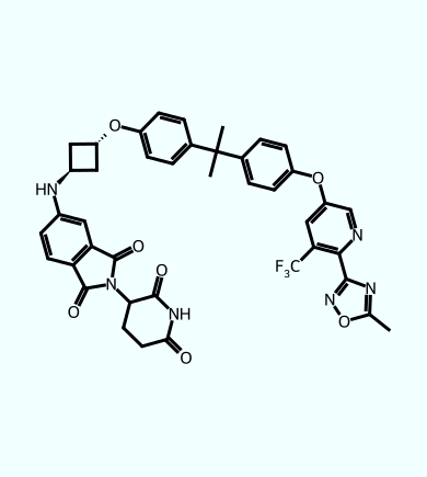 Cc1nc(-c2ncc(Oc3ccc(C(C)(C)c4ccc(O[C@H]5C[C@H](Nc6ccc7c(c6)C(=O)N(C6CCC(=O)NC6=O)C7=O)C5)cc4)cc3)cc2C(F)(F)F)no1